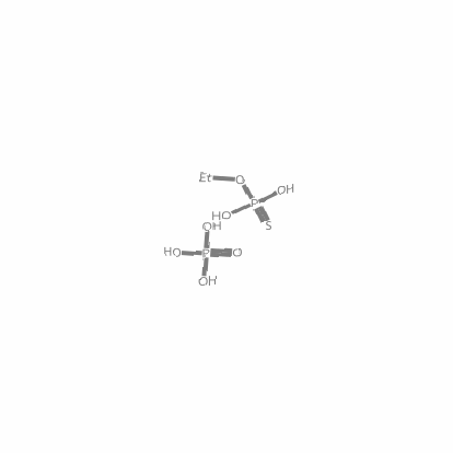 CCOP(O)(O)=S.O=P(O)(O)O